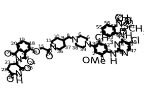 COc1cc(N2CCN(CC3CCN(C(=O)COc4cccc5c4C(=O)N(C4CCC(=O)NC4=O)C5=O)CC3)CC2)c(C)cc1Nc1ncc(Cl)c(Nc2ccccc2N(C)S(C)(=O)=O)n1